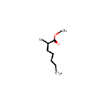 CCC(CCCCC(=O)O)C(=O)OC(C)(C)C